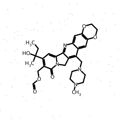 CCC(C)(O)c1cc2n(c(=O)c1COC=O)Cc1c-2nc2cc3c(cc2c1CN1CCN(C)CC1)OCCO3